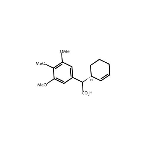 COc1cc(C(C(=O)O)[C@H]2C=CCCC2)cc(OC)c1OC